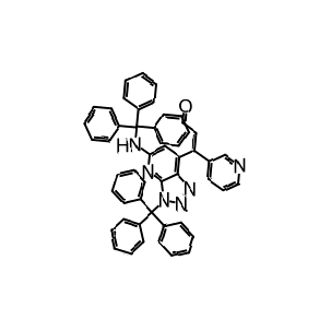 O=C/C=C(/c1cccnc1)c1cc(NC(c2ccccc2)(c2ccccc2)c2ccccc2)nc2c1nnn2C(c1ccccc1)(c1ccccc1)c1ccccc1